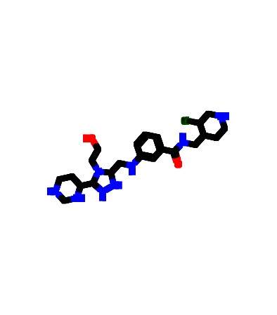 O=C(NCC1CCNCC1Cl)c1cccc(NCC2NNC(C3CCNCN3)N2CCO)c1